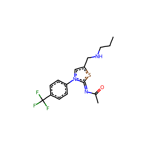 CCCNCc1cn(-c2ccc(C(F)(F)F)cc2)c(=NC(C)=O)s1